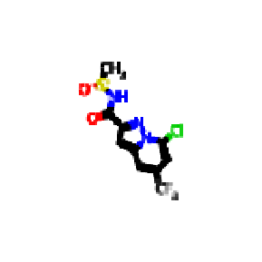 C[S+]([O-])NC(=O)c1cc2cc(C(F)(F)F)cc(Cl)n2n1